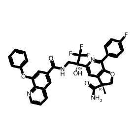 C[C@]1(C(N)=O)COc2c1cc([C@@](O)(CNC(=O)c1cc(Oc3ccccc3)c3ncccc3c1)C(F)(F)F)nc2-c1ccc(F)cc1